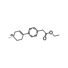 CCOC(=O)Cc1ccc(C2=CC[C@@H](C)CC2)cc1